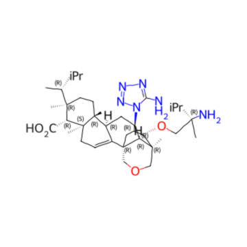 CC(C)[C@@H](C)[C@@]1(C)CC[C@]2(C)[C@H]3CC[C@@H]4[C@@]5(COC[C@]4(C)[C@@H](OC[C@](C)(N)C(C)C)[C@H](n4nnnc4N)C5)C3=CC[C@@]2(C)[C@@H]1C(=O)O